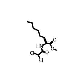 CCCCCC=C(NC(=O)C(Cl)Cl)C(=O)OC